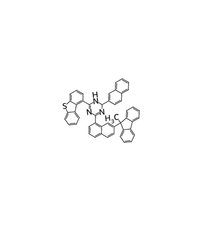 CC1(c2ccc3cccc(C4=NC(c5ccc6ccccc6c5)NC(c5cccc6sc7ccccc7c56)=N4)c3c2)c2ccccc2-c2ccccc21